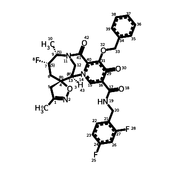 CC1=NO[C@]2(C1)C[C@H](F)[C@H](C)N1C[C@H]2n2cc(C(=O)NCc3ccc(F)cc3F)c(=O)c(OCc3ccccc3)c2C1=O